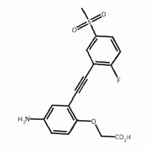 CS(=O)(=O)c1ccc(F)c(C#Cc2cc(N)ccc2OCC(=O)O)c1